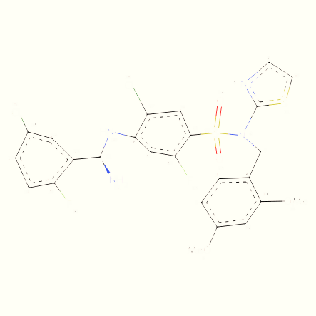 COc1ccc(CN(c2nccs2)S(=O)(=O)c2cc(Cl)c(N[C@@H](N)c3cc(Cl)ccc3F)cc2F)c(OC)c1